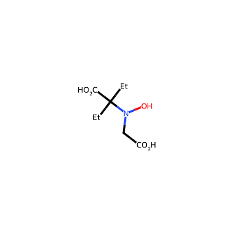 CCC(CC)(C(=O)O)N(O)CC(=O)O